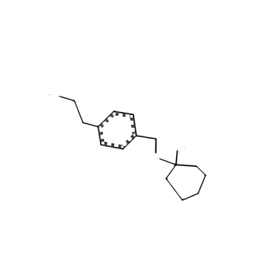 OCCc1ccc(COC2(O)CCCCC2)cc1